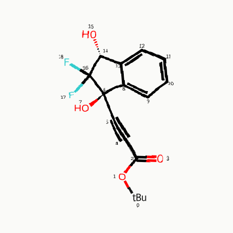 CC(C)(C)OC(=O)C#C[C@@]1(O)c2ccccc2[C@@H](O)C1(F)F